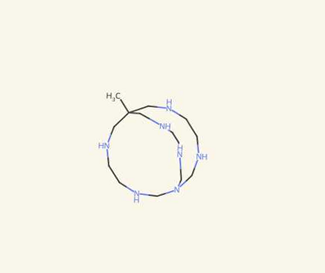 CC12CNCCNCN(CNCCNC1)CNCCNC2